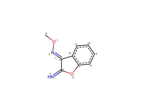 CO/N=C1/C(=N)Oc2ccccc21